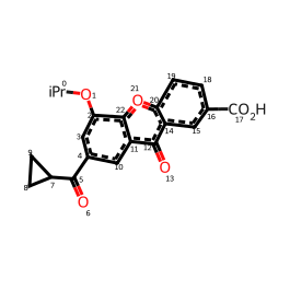 CC(C)Oc1cc(C(=O)C2CC2)cc2c(=O)c3cc(C(=O)O)ccc3oc12